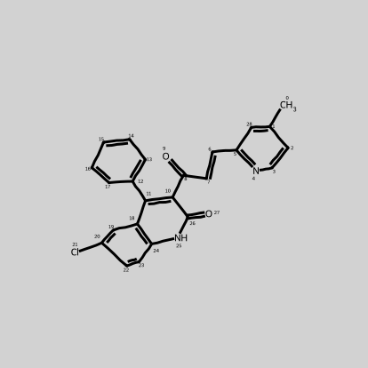 Cc1ccnc(/C=C/C(=O)c2c(-c3ccccc3)c3cc(Cl)ccc3[nH]c2=O)c1